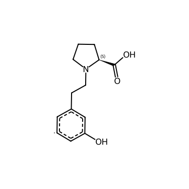 O=C(O)[C@@H]1CCCN1CCc1c[c]cc(O)c1